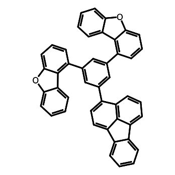 c1ccc2c(c1)-c1cccc3c(-c4cc(-c5cccc6oc7ccccc7c56)cc(-c5cccc6oc7ccccc7c56)c4)ccc-2c13